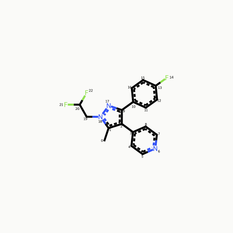 Cc1c(-c2ccncc2)c(-c2ccc(F)cc2)nn1CC(F)F